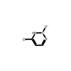 [O-][S+]1N=CC=C(Cl)N1